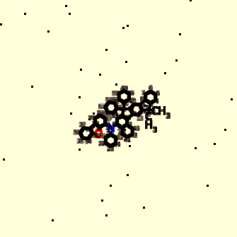 CC1(C)c2ccccc2-c2cc3c(cc21)-c1c(cc(N(c2ccccc2)c2cccc4c2oc2ccccc24)c2ccccc12)C3(c1ccccc1)c1ccccc1